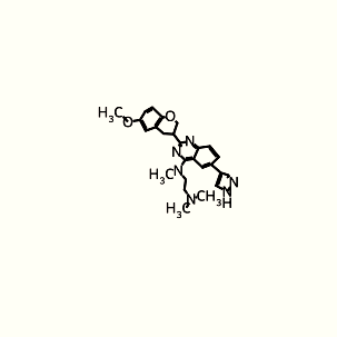 COc1ccc2c(c1)CC(c1nc(N(C)CCN(C)C)c3cc(-c4cn[nH]c4)ccc3n1)CO2